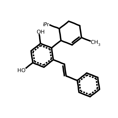 CC1=CC(c2c(O)cc(O)cc2/C=C/c2ccccc2)C(C(C)C)CC1